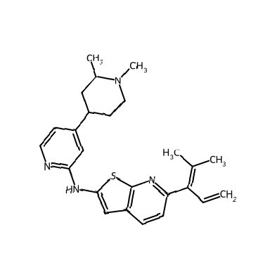 C=CC(=C(C)C)c1ccc2cc(Nc3cc(C4CCN(C)C(C)C4)ccn3)sc2n1